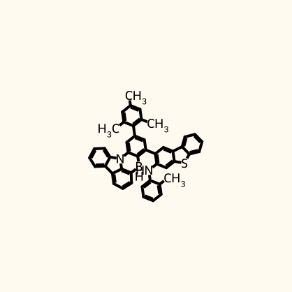 Cc1cc(C)c(-c2cc(-c3cc4c(cc3Nc3ccccc3C)sc3ccccc34)c3c(c2)-n2c4ccccc4c4cccc(c42)B3)c(C)c1